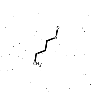 [CH2]CCCS[S]